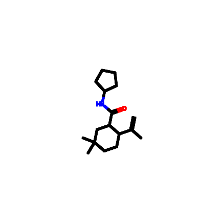 C=C(C)C1CCC(C)(C)CC1C(=O)NC1CCCC1